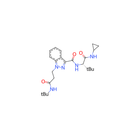 CC(C)(C)NC(=O)CCn1nc(C(=O)N[C@H](C(=O)NC2CC2)C(C)(C)C)c2ccccc21